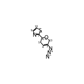 [N-]=[N+]=NC1=CCC(c2nccs2)OC1